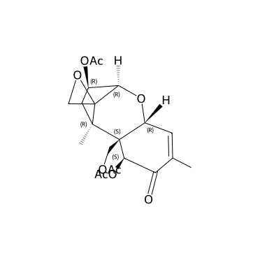 CC(=O)OC[C@]12[C@H](OC(C)=O)C(=O)C(C)=C[C@H]1O[C@@H]1[C@H](OC(C)=O)C[C@@]2(C)C12CO2